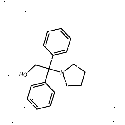 OCC(c1ccccc1)(c1ccccc1)N1CCCC1